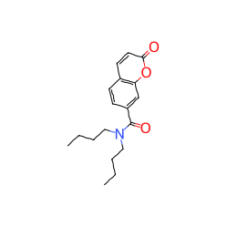 CCCCN(CCCC)C(=O)c1ccc2ccc(=O)oc2c1